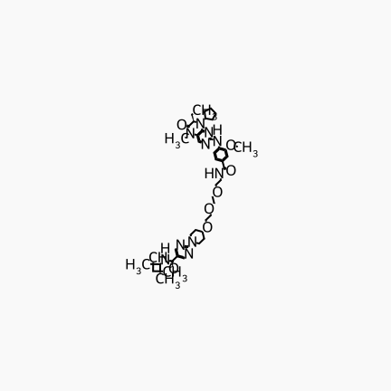 CC[C@@H]1C(=O)N(C)c2cnc(Nc3ccc(C(=O)NCCOCCOCCOC4CCN(c5ncc(C(=O)NC6C(C)(C)CC6(C)C)cn5)CC4)cc3OC)nc2N1C1CCCC1